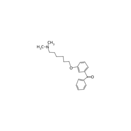 CN(C)CCCCCCOc1cccc(C(=O)c2ccccc2)c1